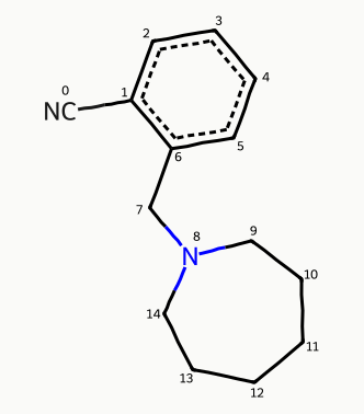 N#Cc1ccccc1CN1CCCCCC1